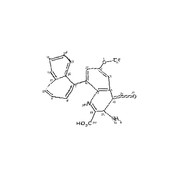 CCOc1cc2c(c(-c3cccc4ccccc34)c1)N=C(C(=O)O)C(N)C2=C=O